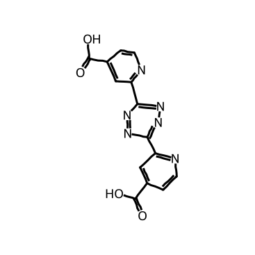 O=C(O)c1ccnc(-c2nnc(-c3cc(C(=O)O)ccn3)nn2)c1